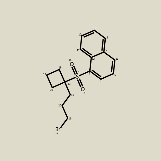 O=S(=O)(c1cccc2ccccc12)C1(CCCBr)CCC1